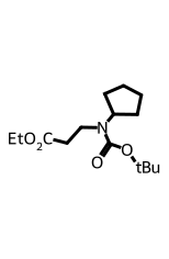 CCOC(=O)CCN(C(=O)OC(C)(C)C)C1CCCC1